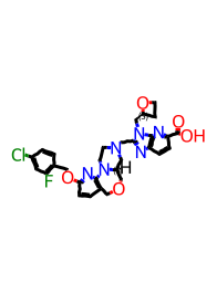 O=C(O)c1ccc2nc(CN3CCN4c5nc(OCc6ccc(Cl)cc6F)ccc5COC[C@@H]4C3)n(C[C@@H]3CCO3)c2n1